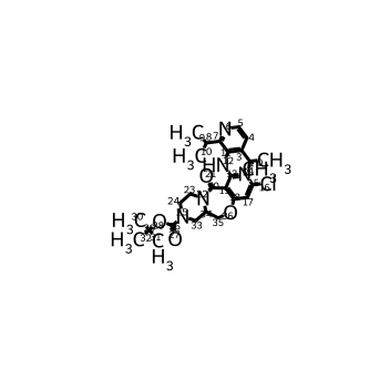 CC(C)c1ccnc(C(C)C)c1Nc1nc(Cl)cc2c1C(=O)N1CCN(C(=O)OC(C)(C)C)CC1CO2